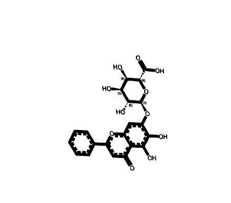 O=C(O)[C@@H]1O[C@@H](Oc2cc3oc(-c4ccccc4)cc(=O)c3c(O)c2O)[C@H](O)[C@@H](O)[C@H]1O